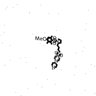 COc1cc(C)c(S(=O)(=O)N2CCCC2CCCCS(=O)(=O)N2CCN(C3CCN(C)CC3)CC2)c(C)c1C